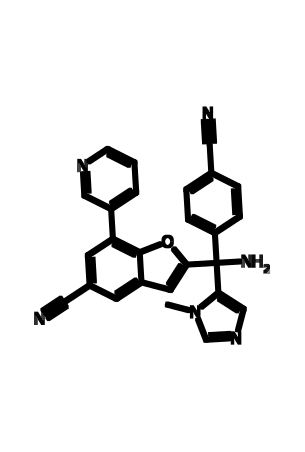 Cn1cncc1C(N)(c1ccc(C#N)cc1)c1cc2cc(C#N)cc(-c3cccnc3)c2o1